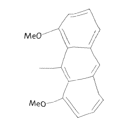 COc1cccc2cc3cccc(OC)c3c(C)c12